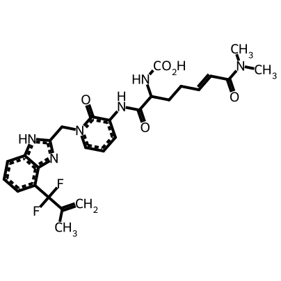 C=C(C)C(F)(F)c1cccc2[nH]c(Cn3cccc(NC(=O)C(CCC=CC(=O)N(C)C)NC(=O)O)c3=O)nc12